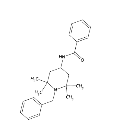 CC1(C)CC(NC(=O)c2ccccc2)CC(C)(C)N1Cc1ccccc1